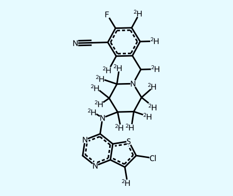 [2H]c1c([2H])c(C([2H])N2C([2H])([2H])C([2H])([2H])C([2H])(N([2H])c3ncnc4c([2H])c(Cl)sc34)C([2H])([2H])C2([2H])[2H])c([2H])c(C#N)c1F